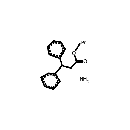 CC(C)OC(=O)CC(c1ccccc1)c1ccccc1.N